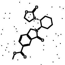 COC(=O)c1ccc2c(c1)C(=O)N([C@@H]1CCCC[C@H]1N1CCOC1=O)C2